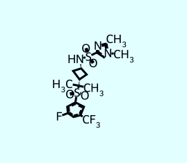 Cc1nc(S(=O)(=O)N[C@H]2C[C@@H](C(C)(C)S(=O)(=O)c3cc(F)cc(C(F)(F)F)c3)C2)cn1C